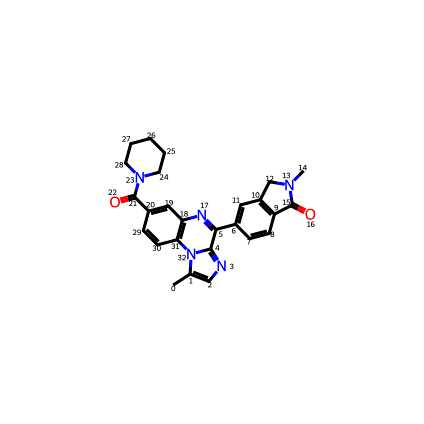 Cc1cnc2c(-c3ccc4c(c3)CN(C)C4=O)nc3cc(C(=O)N4CCCCC4)ccc3n12